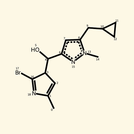 CC1=CC(C(O)c2cc(CC3CC3)n(C)n2)C(Br)=N1